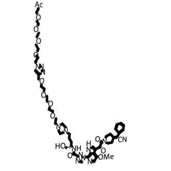 COc1cnc(-n2cnc(C(=O)N[C@H](CO)CCCN3CCN(CCOCCOCCOCCOCc4cn(CCOCCOCCOCCOCCC(C)=O)nn4)CC3)n2)c2[nH]cc(C(=O)C(=O)N3CCC(=C(C#N)c4ccccc4)CC3)c12